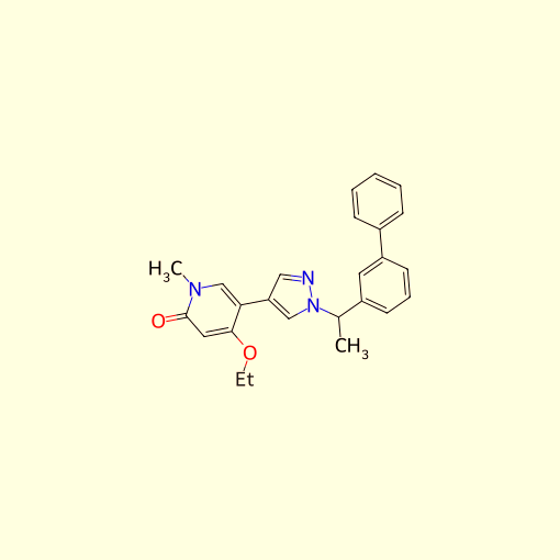 CCOc1cc(=O)n(C)cc1-c1cnn(C(C)c2cccc(-c3ccccc3)c2)c1